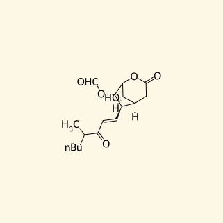 CCCCC(C)C(=O)C=C[C@@H]1[C@@H]2CC(=O)OC([C@H]1OC=O)[C@@H]2O